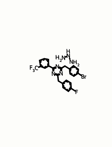 Fc1ccc(Cc2nc(Cc3ccc(Br)cc3)nc(-c3cccc(C(F)(F)F)c3)n2)cc1.NNN